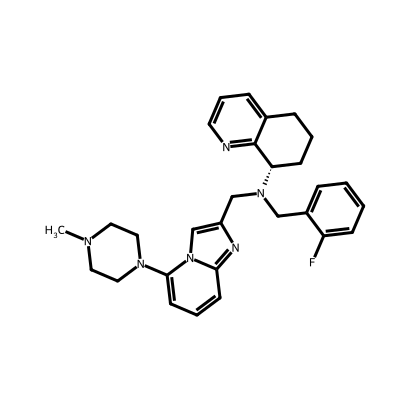 CN1CCN(c2cccc3nc(CN(Cc4ccccc4F)[C@H]4CCCc5cccnc54)cn23)CC1